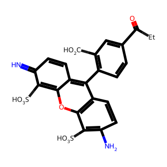 CCC(=O)c1ccc(-c2c3ccc(=N)c(S(=O)(=O)O)c-3oc3c(S(=O)(=O)O)c(N)ccc23)c(C(=O)O)c1